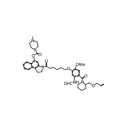 C=CCOCC1CCCCN1C(=O)c1cc(OC)c(OCCCCCC(=O)N2CCc3c2cc(OC(=O)N2CCN(C)CC2)c2ccccc32)cc1NC=O